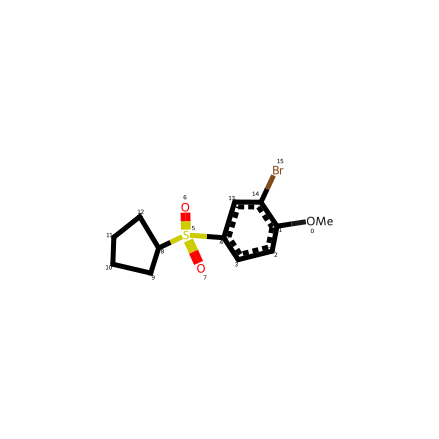 COc1ccc(S(=O)(=O)C2CCCC2)cc1Br